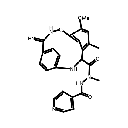 COc1cc(C)c2cc1ONC(=N)c1ccc(cc1)NC2C(=O)N(C)NC(=O)c1ccncc1